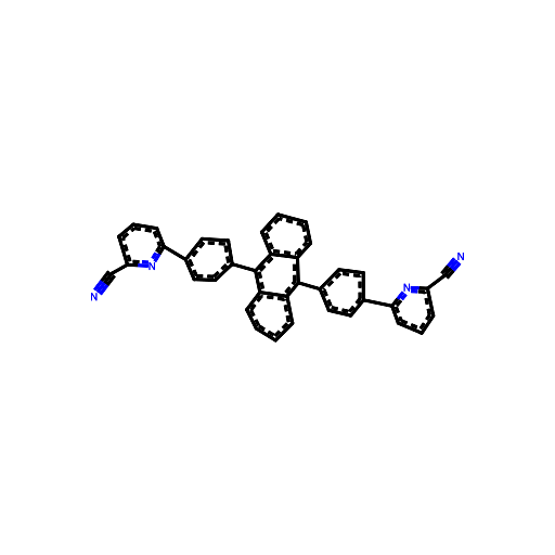 N#Cc1cccc(-c2ccc(-c3c4ccccc4c(-c4ccc(-c5cccc(C#N)n5)cc4)c4ccccc34)cc2)n1